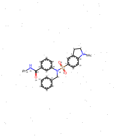 CC(=O)N1CCc2cc(S(=O)(=O)N(Cc3ccccc3)c3cccc(C(=O)NC(C)C)c3)ccc21